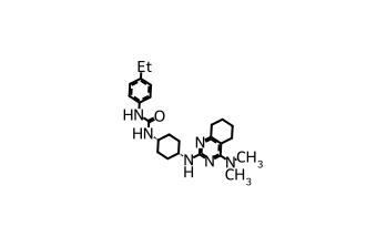 CCc1ccc(NC(=O)N[C@H]2CC[C@@H](Nc3nc4c(c(N(C)C)n3)CCCC4)CC2)cc1